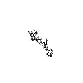 N#CCC1(n2cc(-c3ncnc4[nH]ccc34)cn2)CN(C2CCN(C(O)Nc3ccc(F)cc3C(F)(F)F)CC2)C1